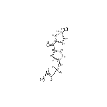 CC(C)(C=NO)Oc1ccc(C(=O)c2ccc(Cl)cc2)cc1